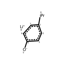 CC(C)c1ccc([O-])cc1.[Li+]